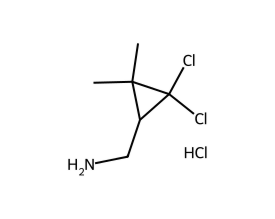 CC1(C)C(CN)C1(Cl)Cl.Cl